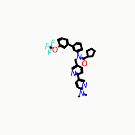 CN(C)c1ccc(-c2ccc(CN(C(=O)C3CCCC3)c3cccc(-c4cccc(OC(F)(F)F)c4)c3)cn2)cn1